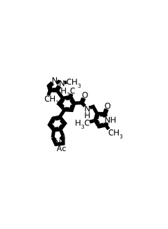 CC(=O)N1C2CCC1c1cc(-c3cc(C(=O)NCc4c(C)cc(C)[nH]c4=O)c(C)c(-c4c(C)cnn4C)c3)ccc12